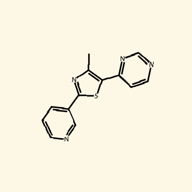 Cc1nc(-c2cccnc2)sc1-c1ccncn1